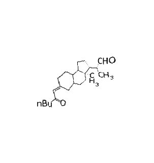 CCCCC(=O)/C=C1/CCC2C(CC[C@@]3(C)C2CC[C@@H]3[C@@H](C)C=O)C1